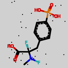 CN(F)[C@@](F)(Cc1ccc(P(=O)(O)O)cc1)C(=O)O